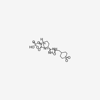 N=C(NC(=O)CC1CCS(=O)(=O)CC1)[C@@H]1CC[C@@H]2CN1C(=O)N2OS(=O)(=O)O